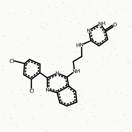 O=c1ccc(NCCNc2nc(-c3ccc(Cl)cc3Cl)nc3ccccc23)n[nH]1